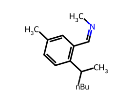 CCCCC(C)c1ccc(C)cc1/C=N\C